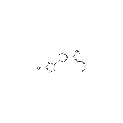 C/C(=C\C=C/S)c1ccc(-c2ccc(C)s2)s1